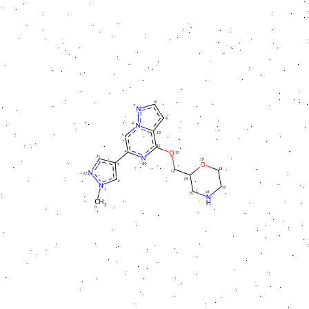 Cn1cc(-c2cn3nccc3c(OCC3CNCCO3)n2)cn1